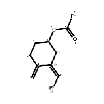 C=C1CCC(OC(=O)CC)C/C1=C/C(C)C